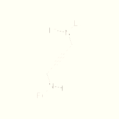 CCN(CC)CC#CCN(CC)CC